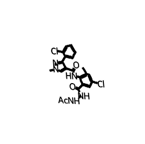 CC(=O)NNC(=O)c1cc(Cl)cc(C)c1NC(=O)c1cn(C)nc1-c1ccccc1Cl